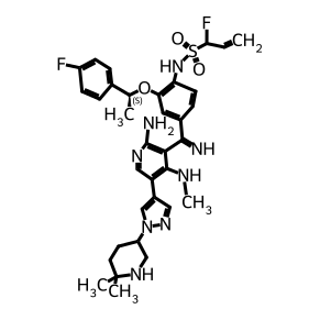 C=CC(F)S(=O)(=O)Nc1ccc(C(=N)c2c(N)ncc(-c3cnn(C4CCC(C)(C)NC4)c3)c2NC)cc1O[C@@H](C)c1ccc(F)cc1